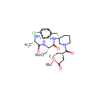 COC[C@H](NC(=O)[C@H](C)N)C(=O)N[C@@]1(Cc2ccc(Cl)cc2)CCCN(C(=O)[C@@H](CC(=O)OC(C)(C)C)CC(F)(F)F)C1